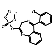 CCOP(=O)(OCC)OC1=Nc2ccccc2C(c2ccccc2Cl)=NC1